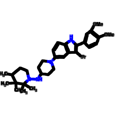 COc1ccc(-c2[nH]c3ccc(N4CCC(NN5CCC(C)C(C)(C)C5(C)C)CC4)cc3c2C(C)C)cc1OC